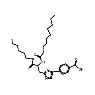 CCCCCCCCCC(=O)NC(Cc1ncc(-c2ccc(C(=O)O)cc2)o1)C(=O)NCCCCCC